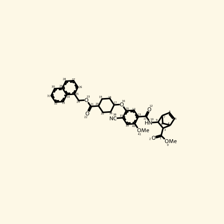 COC(=O)C1C2C=CC(C2)C1NC(=O)c1cc(OC2CCC(C(=O)OCc3cccc4ccccc34)CC2)c(C#N)cc1OC